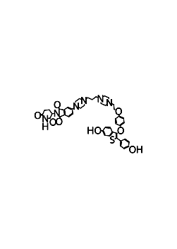 O=C1CCC(N2C(=O)c3ccc(N4CCN(CCCN5CCN(CCOc6ccc(Oc7c(-c8ccc(O)cc8)sc8cc(O)ccc78)cc6)CC5)CC4)cc3C2=O)C(=O)N1